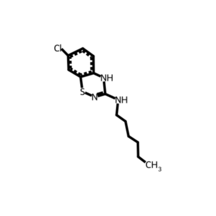 CCCCCCNC1=NSc2cc(Cl)ccc2N1